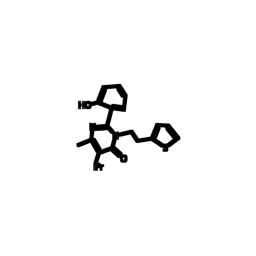 Cc1nc(-c2ccccc2O)n(CCc2cccs2)c(=O)c1C(C)C